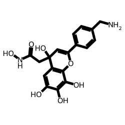 NCc1ccc(C2=CC(O)(CC(=O)NO)c3cc(O)c(O)c(O)c3O2)cc1